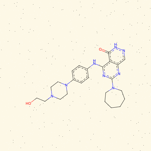 O=c1[nH]ncc2nc(N3CCCCCC3)nc(Nc3ccc(N4CCN(CCO)CC4)cc3)c12